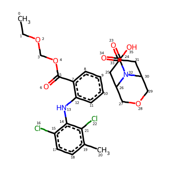 CCOCOC(=O)c1ccccc1Nc1c(Cl)ccc(C)c1Cl.O=C1CC2COCC(C1)N2C(=O)O